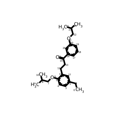 CCc1ccc(OCC(C)C)c(CCC(=O)c2cccc(OCC(C)C)c2)c1